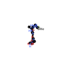 CO[C@H]1CCN(c2nccc(Nc3cc4c(cn3)c(C(=O)NC3CCN(CCCOC5CCN(c6cccc7c6C(=O)N([C@H]6CCC(=O)NC6=O)C7=O)CC5)CC3)cn4C3CCCC3)n2)C[C@H]1F